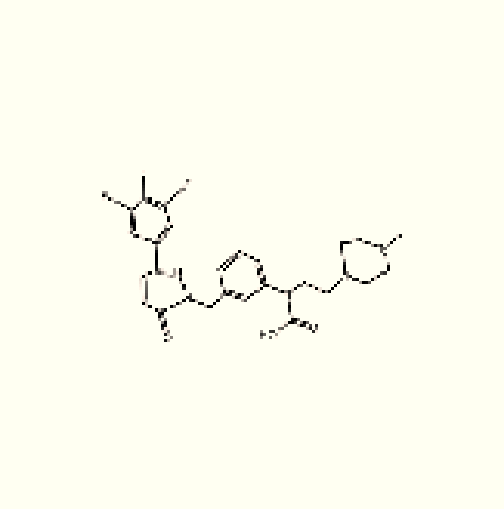 CN1CCN(CCN(C(=O)O)c2cccc(Cn3nc(-c4cc(F)c(F)c(F)c4)ccc3=O)c2)CC1